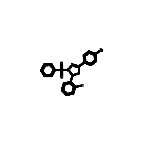 O=S(=O)(c1ccccc1)N1N=C(c2ccc(Br)cc2)CC1c1ccccc1Cl